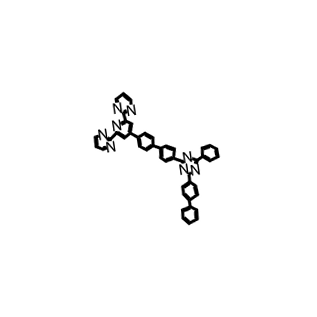 c1ccc(-c2ccc(-c3nc(-c4ccccc4)nc(-c4ccc(-c5ccc(-c6cc(-c7ncccn7)nc(-c7ncccn7)c6)cc5)cc4)n3)cc2)cc1